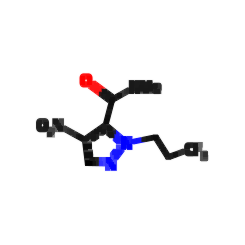 CNC(=O)c1c([N+](=O)[O-])cnn1CCC(F)(F)F